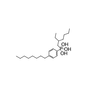 CCCCCCCCc1ccc(P(O)(O)(O)CC(CC)CCCC)cc1